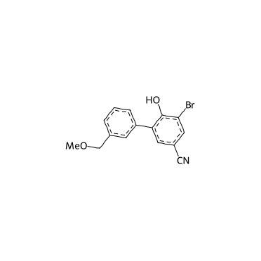 COCc1cccc(-c2cc(C#N)cc(Br)c2O)c1